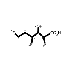 O=C(O)C(F)C(O)C(F)CCF